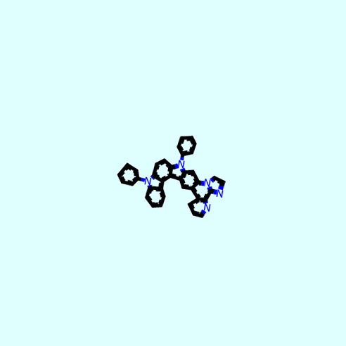 c1ccc(-n2c3ccccc3c3c4c5cc6c7cccnc7c7nccn7c6cc5n(-c5ccccc5)c4ccc32)cc1